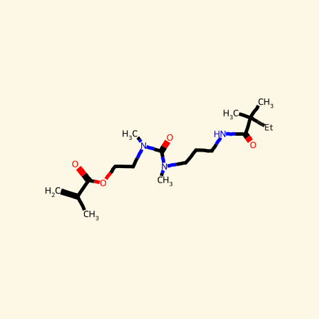 C=C(C)C(=O)OCCN(C)C(=O)N(C)CCCNC(=O)C(C)(C)CC